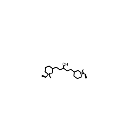 C=C[N+]1(C)CCCC(CCC(O)CCC2CCC[N+](C)(C=C)C2)C1